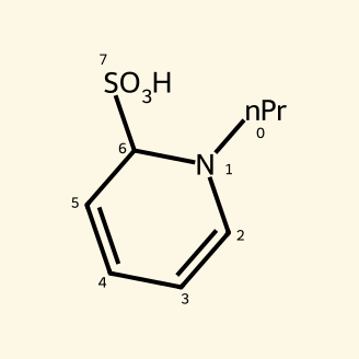 CCCN1C=CC=CC1S(=O)(=O)O